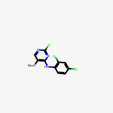 COc1cnc(Cl)nc1Nc1ccc(Cl)cc1Cl